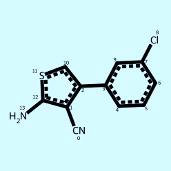 N#Cc1c(-c2cccc(Cl)c2)csc1N